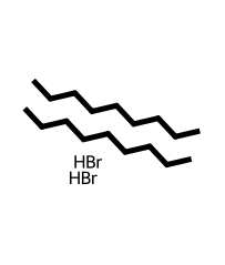 Br.Br.CCCCCCCCC.CCCCCCCCC